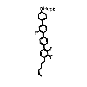 C/C=C\CCCc1ccc(-c2ccc(-c3ccc(C4=CCC(CCCCCCC)CC4)cc3F)cc2)c(F)c1F